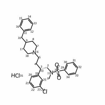 CN(C[C@@H](CCN1CCC(Cc2ccccc2)CC1)c1cccc(Cl)c1)S(=O)(=O)c1ccccc1.Cl